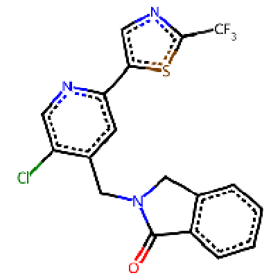 O=C1c2ccccc2CN1Cc1cc(-c2cnc(C(F)(F)F)s2)ncc1Cl